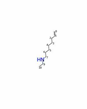 C=CCCCCCCNCC